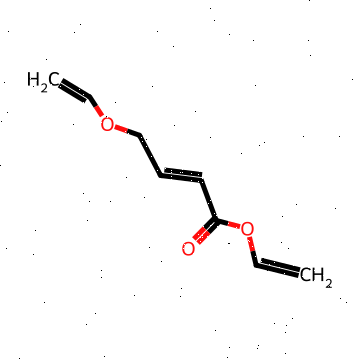 C=COCC=CC(=O)OC=C